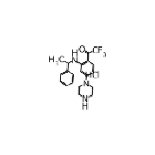 C[C@@H](Nc1cc(N2CCNCC2)ccc1C(=O)C(F)(F)F)c1ccccc1.Cl